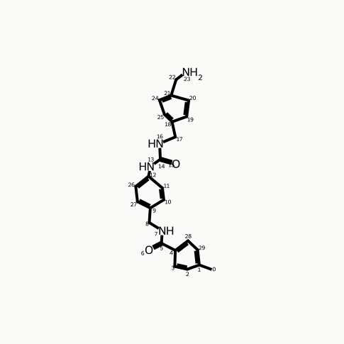 Cc1ccc(C(=O)NCc2ccc(NC(=O)NCc3ccc(CN)cc3)cc2)cc1